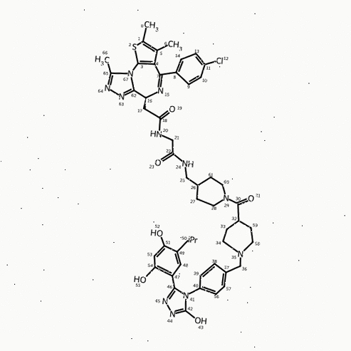 Cc1sc2c(c1C)C(c1ccc(Cl)cc1)=N[C@@H](CC(=O)NCC(=O)NCC1CCN(C(=O)C3CCN(Cc4ccc(-n5c(O)nnc5-c5cc(C(C)C)c(O)cc5O)cc4)CC3)CC1)c1nnc(C)n1-2